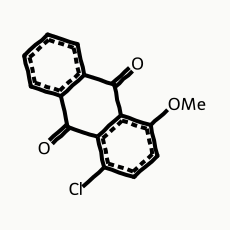 COc1ccc(Cl)c2c1C(=O)c1ccccc1C2=O